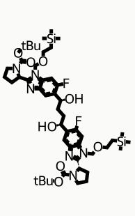 CC(C)(C)OC(=O)N1CCCC1c1nc2cc([C@@H](O)CC[C@H](O)c3cc4nc([C@@H]5CCCN5C(=O)OC(C)(C)C)n(COCC[Si](C)(C)C)c4cc3F)c(F)cc2n1COCC[Si](C)(C)C